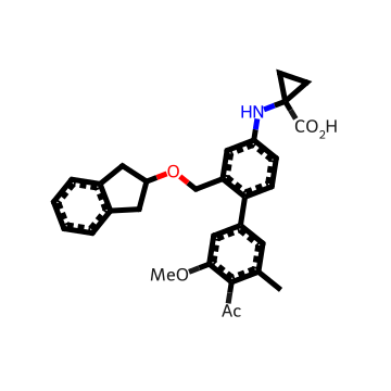 COc1cc(-c2ccc(NC3(C(=O)O)CC3)cc2COC2Cc3ccccc3C2)cc(C)c1C(C)=O